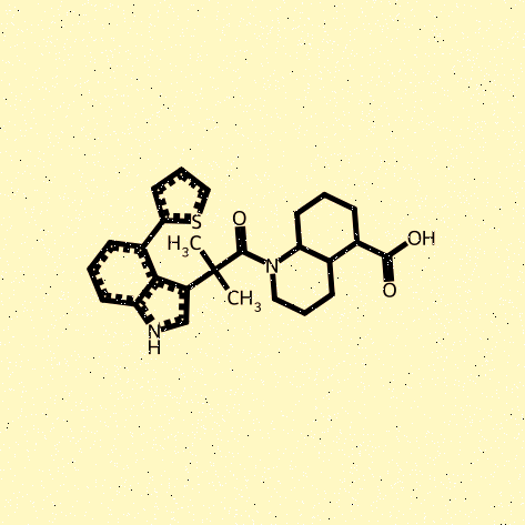 CC(C)(C(=O)N1CCCC2C(C(=O)O)CCCC21)c1c[nH]c2cccc(-c3cccs3)c12